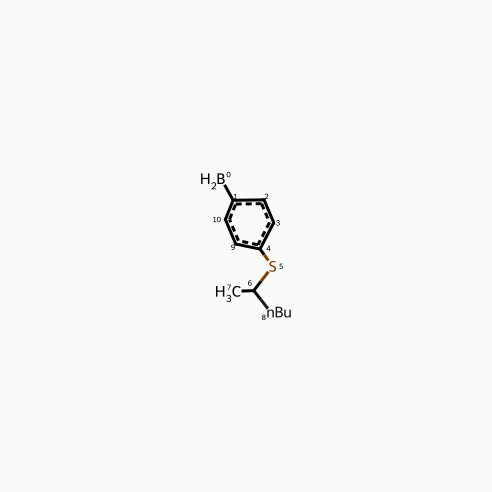 Bc1ccc(SC(C)CCCC)cc1